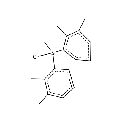 Cc1cccc([Si](C)(Cl)c2cccc(C)c2C)c1C